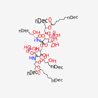 CCCCCCCCCCCCCCCCC(=O)OC(CCCCCCCCCCC)CC(=O)OC1C(OP(=O)(O)O)C(CO)O[C@@H](OCC2OC(OP(=O)(O)O)[C@@H](NC(=O)CC(CCCCCCCCCCC)OC(=O)CCCCCCCCCCCCCCC)C(OC(=O)CC(O)CCCCCCCCCCC)[C@@H]2O)[C@H]1NC(=O)CC(O)CCCCCCCCCCC